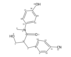 CN(C(=O)C(CO)Cc1ccc(C#N)cc1)c1ccc(O)cc1